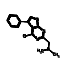 CN(C)Cc1nc(Cl)c2c(-c3ccccc3)csc2n1